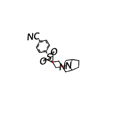 N#Cc1ccc(S(=O)(=O)CCCN2C3CCC2CN(CC2CC2)C3)cc1